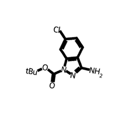 CC(C)(C)OC(=O)n1nc(N)c2ccc(Cl)cc21